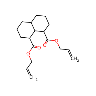 C=CCOC(=O)C1CCCC2CCCC(C(=O)OCC=C)C21